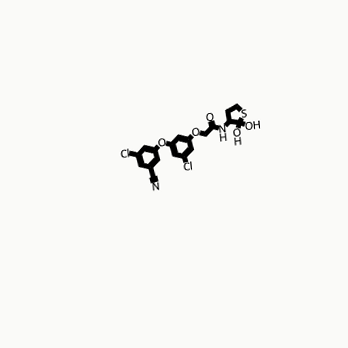 N#Cc1cc(Cl)cc(Oc2cc(Cl)cc(OCC(=O)NC3CCSC3(O)O)c2)c1